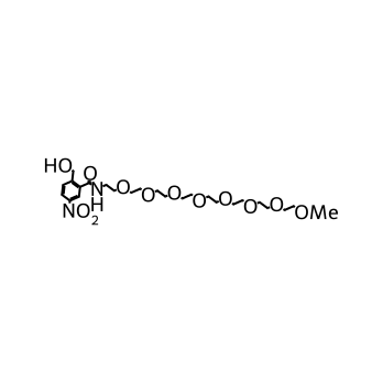 COCCOCCOCCOCCOCCOCCOCCOCCNC(=O)c1cc([N+](=O)[O-])ccc1CO